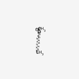 CCCCCCCCCCCCCCOC(C)=O